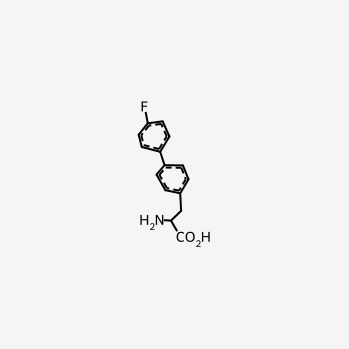 NC(Cc1ccc(-c2ccc(F)cc2)cc1)C(=O)O